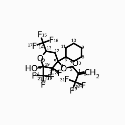 C=C(C(=O)OC1(C2CCCCC2)CC(C(F)(F)F)OC(O)(C(F)(F)F)C1(F)F)C(F)(F)F